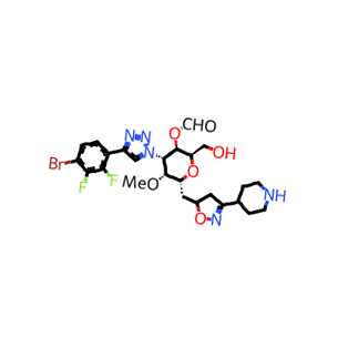 CO[C@@H]1[C@H](n2cc(-c3ccc(Br)c(F)c3F)nn2)[C@@H](OC=O)[C@@H](CO)O[C@@H]1CC1CC(C2CCNCC2)=NO1